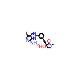 CN1CCC(O)(C#Cc2cccc(-c3ncc4c(I)cnc(N)c4n3)c2)C1=O